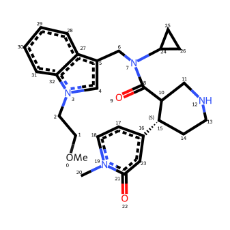 COCCn1cc(CN(C(=O)C2CNCC[C@@H]2c2ccn(C)c(=O)c2)C2CC2)c2ccccc21